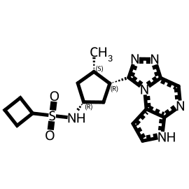 C[C@H]1C[C@@H](NS(=O)(=O)C2CCC2)C[C@H]1c1nnc2cnc3[nH]ccc3n12